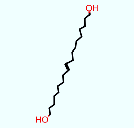 OCCCCCCCCC=CCCCCCCCCCO